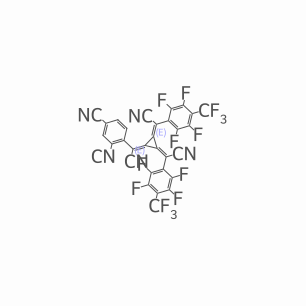 N#CC(=C1C(=C(\C#N)c2ccc(C#N)cc2C#N)/C1=C(\C#N)c1c(F)c(F)c(C(F)(F)F)c(F)c1F)c1c(F)c(F)c(C(F)(F)F)c(F)c1F